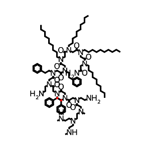 CCCCCCCCCCN(CC(N)=O)C(=O)CN(CCCCCCCCCC)C(=O)CN(CCCCCCCCCC)C(=O)CN(CCCCCCCCCC)C(=O)CN(CCc1ccccc1)C(=O)CN(CCc1ccccc1)C(=O)CN(CCN)C(=O)CN(CCc1ccccc1)C(=O)CN(CCc1ccccc1)C(=O)CN(CCN)C(=O)CN(C)CCN(CCNC)CCNC